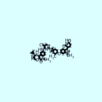 C[C@@H]1CC2(CC[C@@H]1Oc1ccc3c(C4CCC(=O)NC4=O)nn(C)c3c1)CN(c1ncc(Cl)c(Nc3ccc4c(c3)c3c(c(=O)n4C)OCC(F)(F)[C@H](C4CC4)N3)n1)C2